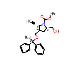 C#C[C@H]1[C@H](CO[Si](c2ccccc2)(c2ccccc2)C(C)(C)C)C[C@H](CO)N1C(=O)OC(C)(C)C